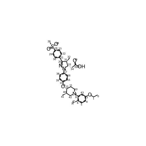 CCOc1ccc(F)c(N2CC[C@@H](Oc3ccc(N4N=C(c5ccc(S(C)(=O)=O)cc5)[C@@H](C)[C@@H]4CC(=O)O)cc3)[C@H](C)C2)c1